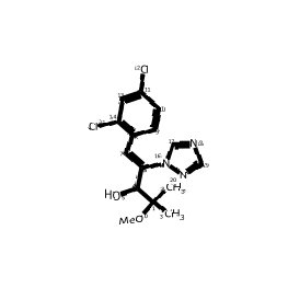 COC(C)(C)C(O)/C(=C/c1ccc(Cl)cc1Cl)n1cncn1